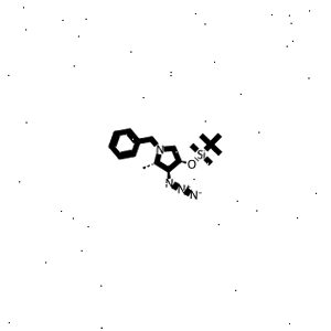 C[C@H]1[C@H](N=[N+]=[N-])[C@@H](O[Si](C)(C)C(C)(C)C)CN1Cc1ccccc1